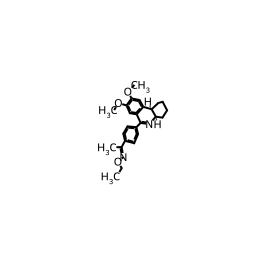 CCO/N=C(\C)c1ccc(C2=N[C@@H]3CCCC[C@@H]3c3cc(OC)c(OC)cc32)cc1